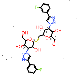 OCC1O[C@@H](SCC2O[C@H](CO)C(O)C(n3cc(-c4cccc(F)c4)nn3)[C@H]2O)C(O)C(n2cc(-c3cccc(F)c3)nn2)[C@H]1O